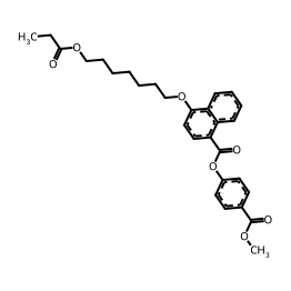 CCC(=O)OCCCCCCCOc1ccc(C(=O)Oc2ccc(C(=O)OC)cc2)c2ccccc12